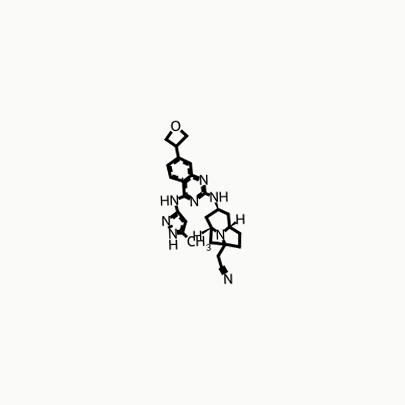 Cc1cc(Nc2nc(N[C@H]3C[C@@H]4CCC5(CC#N)C[C@H](C3)N45)nc3cc(C4COC4)ccc23)n[nH]1